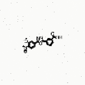 COc1cc(-c2nnc(-c3cccc(C(=O)O)c3)o2)ccc1[N+](C)=O